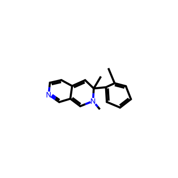 Cc1ccccc1C1(C)C=c2ccncc2=CN1C